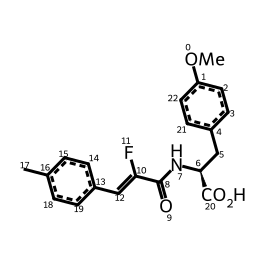 COc1ccc(C[C@H](NC(=O)/C(F)=C/c2ccc(C)cc2)C(=O)O)cc1